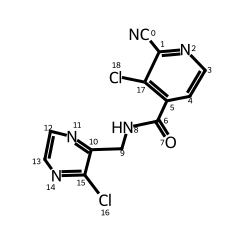 N#Cc1nccc(C(=O)NCc2nccnc2Cl)c1Cl